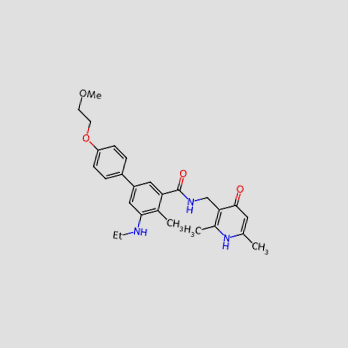 CCNc1cc(-c2ccc(OCCOC)cc2)cc(C(=O)NCc2c(C)[nH]c(C)cc2=O)c1C